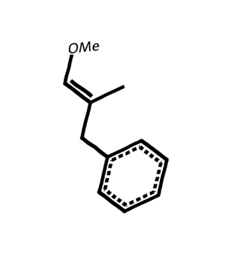 CO/C=C(\C)Cc1ccccc1